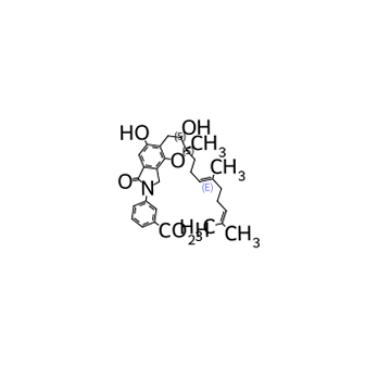 CC(C)=CCC/C(C)=C/CC[C@]1(C)Oc2c(c(O)cc3c2CN(c2cccc(C(=O)O)c2)C3=O)C[C@@H]1O